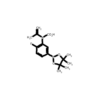 C=C(C)N(C(=O)O)c1cc(B2OC(C)(C)C(C)(C)O2)ccc1F